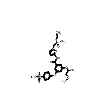 CCO[P@@](C)(=O)Cn1ccc(NC(=O)c2cc(Oc3ccc(S(C)(=O)=O)cc3)cc(O[C@@H](C)COC)c2)n1